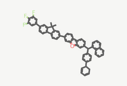 CC1(C)c2cc(-c3cc(F)c(F)c(F)c3)ccc2-c2ccc(-c3ccc4c(c3)oc3cc(C(c5ccc(C6C=CC=CC6)cc5)c5cccc6ccccc56)ccc34)cc21